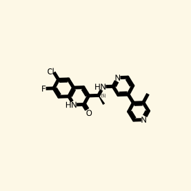 Cc1cnccc1-c1ccnc(N[C@@H](C)c2cc3cc(Cl)c(F)cc3[nH]c2=O)c1